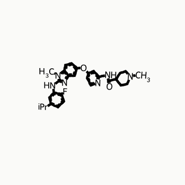 CC(C)c1ccc(F)c(Nc2nc3cc(Oc4ccnc(NC(=O)C5CCN(C)CC5)c4)ccc3n2C)c1